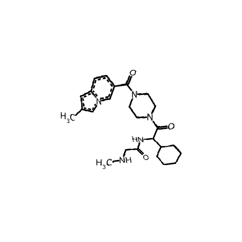 CNCC(=O)NC(C(=O)N1CCN(C(=O)c2ccc3cc(C)cn3c2)CC1)C1CCCCC1